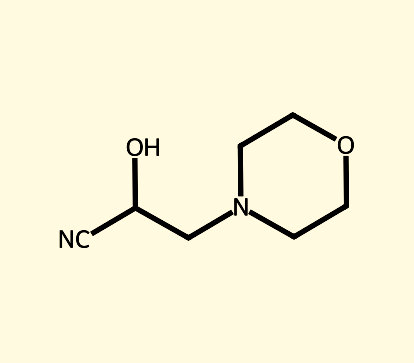 N#CC(O)CN1CCOCC1